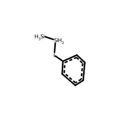 [SiH3][SiH2][I]c1ccccc1